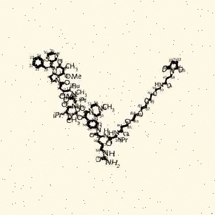 CC[C@H](C)[C@@H]([C@@H](CC(=O)N1CCC[C@H]1[C@H](OC)[C@@H](C)C(=O)N[C@@H](Cc1ccccc1)C1C=NC=CS1)OC)N(C)C(=O)[C@@H](NC(=O)[C@H](C(C)C)N(C)C(=O)OC(C(=O)N1CCN(C)CC1)c1ccc(NC(=O)[C@H](CCCNC(N)=O)NC(=O)[C@@H](NC(=O)CCOCCOCCOCCOCCNC(=O)CCN2C(=O)C=CC2=O)C(C)C)cc1)C(C)C